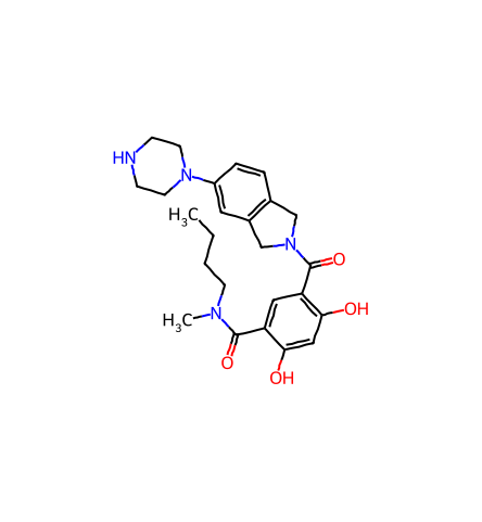 CCCCN(C)C(=O)c1cc(C(=O)N2Cc3ccc(N4CCNCC4)cc3C2)c(O)cc1O